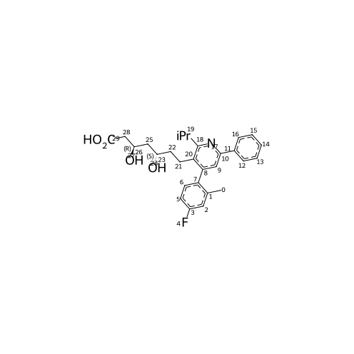 Cc1cc(F)ccc1-c1cc(-c2ccccc2)nc(C(C)C)c1CC[C@H](O)C[C@@H](O)CC(=O)O